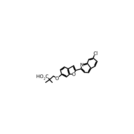 CC(C)(COc1ccc2cc(-c3ccc4ccc(Cl)cc4n3)oc2c1)C(=O)O